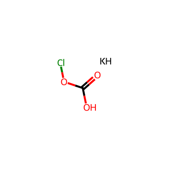 O=C(O)OCl.[KH]